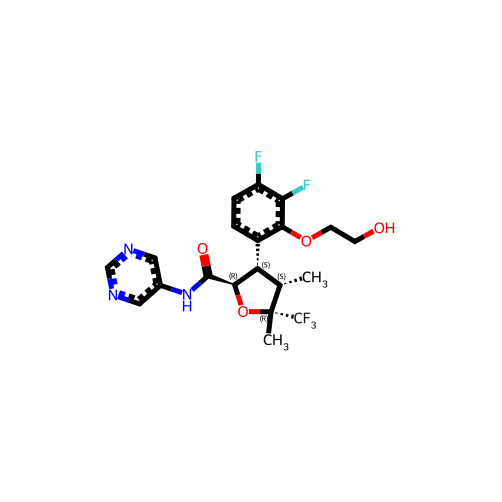 C[C@H]1[C@@H](c2ccc(F)c(F)c2OCCO)[C@H](C(=O)Nc2cncnc2)O[C@@]1(C)C(F)(F)F